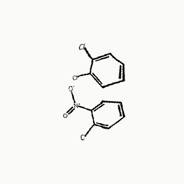 Clc1ccccc1Cl.O=[N+]([O-])c1ccccc1Cl